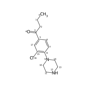 CCCC(=O)c1ccc(N2CCNCC2)c(Cl)c1